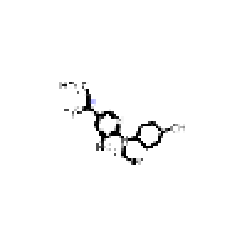 C/C(=C\C(=O)O)c1cnc(N(CC(C)C)C2CCC(O)CC2)c([N+](=O)[O-])c1